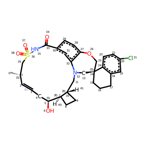 C[C@H]1/C=C/C[C@H](O)[C@@H]2CC[C@H]2CN2C[C@@]3(CCCc4cc(Cl)ccc43)COc3ccc(cc32)C(=O)NS(=O)(=O)C1